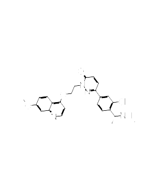 COc1ccc2c(OCCn3nc(-c4ccc([C@H](C)N)c(Cl)c4)ccc3=O)ccnc2c1